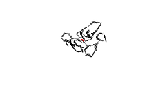 N#CC1CC2CCC(C1)N2C(c1ccccc1Cl)c1ccccc1Cl